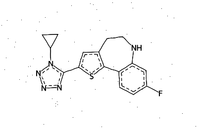 Fc1ccc2c(c1)NCCc1cc(-c3nnnn3C3CC3)sc1-2